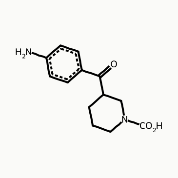 Nc1ccc(C(=O)C2CCCN(C(=O)O)C2)cc1